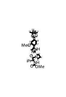 COC(=O)N[C@H](C(=O)N1CCC[C@H]1c1ncc(-c2ccc(B3OC(C)(C)C(C)(C)O3)cc2OC)[nH]1)C(C)C